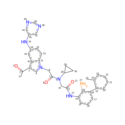 CC(=O)c1cn(CC(=O)N(CC(=O)Nc2cccc(-c3ccccc3C)c2P)C2CC2)c2ccc(Nc3cncnc3)cc12